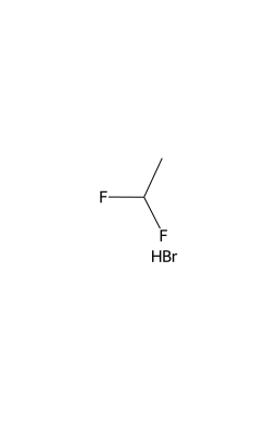 Br.CC(F)F